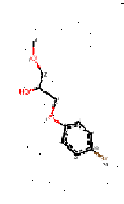 COCC(O)COc1ccc(Br)cc1